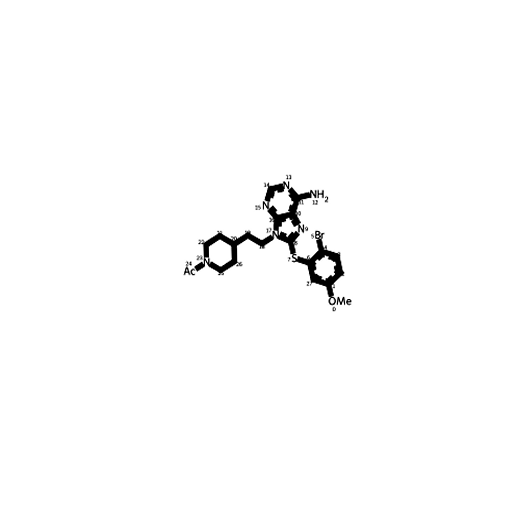 COc1ccc(Br)c(Sc2nc3c(N)ncnc3n2CCC2CCN(C(C)=O)CC2)c1